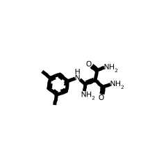 Cc1cc(C)cc(NC(N)=C(C(N)=O)C(N)=O)c1